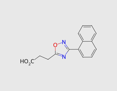 O=C(O)CCc1nc(-c2cccc3ccccc23)no1